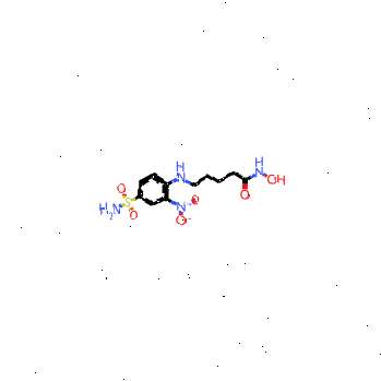 NS(=O)(=O)c1ccc(NCCCCC(=O)NO)c([N+](=O)[O-])c1